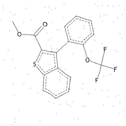 COC(=O)c1sc2ccccc2c1-c1ccccc1OC(F)(F)F